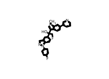 Cn1cc(C(O)(CF)c2ccc3c(cnn3-c3ccc(F)cc3)c2)c2ccc(-c3cccnc3)cc21